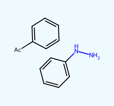 CC(=O)c1ccccc1.NNc1ccccc1